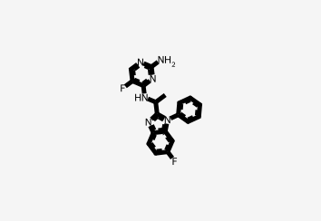 CC(Nc1nc(N)ncc1F)c1nc2ccc(F)cc2n1-c1ccccc1